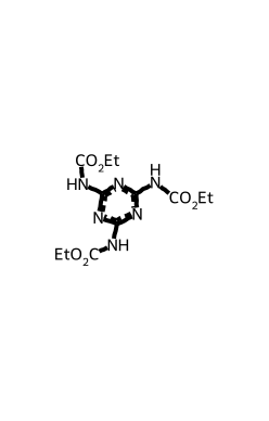 CCOC(=O)Nc1nc(NC(=O)OCC)nc(NC(=O)OCC)n1